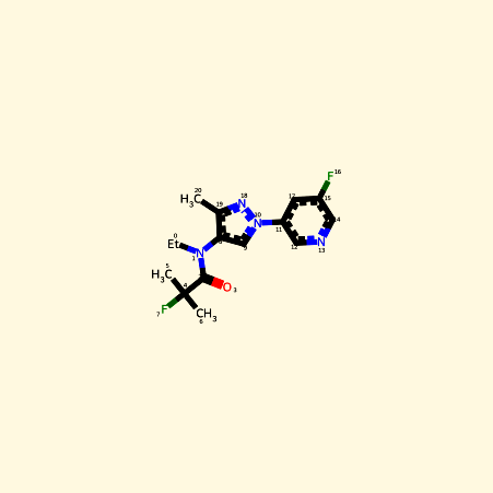 CCN(C(=O)C(C)(C)F)c1cn(-c2cncc(F)c2)nc1C